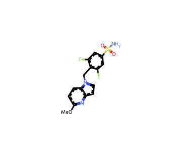 COc1ccc2c(ccn2Cc2c(F)cc(S(N)(=O)=O)cc2F)n1